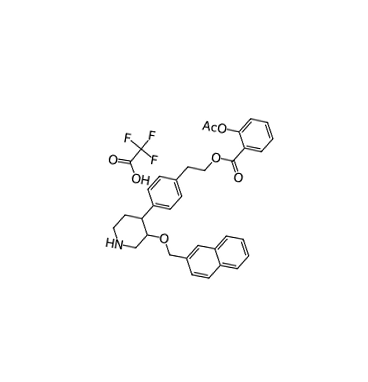 CC(=O)Oc1ccccc1C(=O)OCCc1ccc(C2CCNCC2OCc2ccc3ccccc3c2)cc1.O=C(O)C(F)(F)F